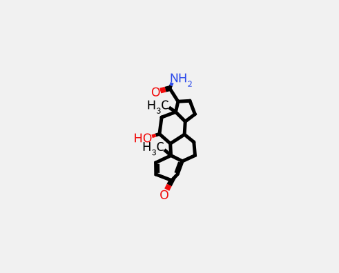 CC12C=CC(=O)C=C1CCC1C2C(O)CC2(C)C(C(N)=O)CCC12